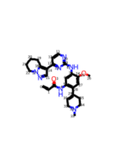 C=CC(=O)Nc1cc(Nc2nccc(-c3cnn4c3CCCC4)n2)c(OC)cc1C1=CCN(C)CC1